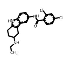 CCNC1CCc2[nH]c3ccc(NC(=O)c4ccc(Cl)cc4Cl)cc3c2C1